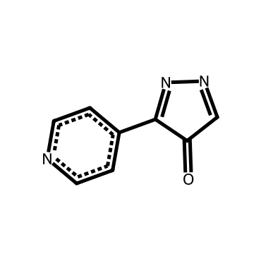 O=C1C=NN=C1c1ccncc1